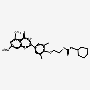 COc1cc(OC)c2c(=O)[nH]c(-c3cc(C)c(OCCOC(=O)NC4CCCCC4)c(C)c3)nc2c1